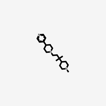 CN1CCC(C(C)(C)CCN2CCC(c3ccncc3)CC2)CC1